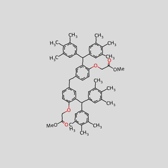 COC(=O)COc1ccc(Cc2ccc(OCC(=O)OC)c(C(c3cc(C)c(C)c(C)c3)c3cc(C)c(C)c(C)c3)c2)cc1C(c1cc(C)c(C)c(C)c1)c1cc(C)c(C)c(C)c1